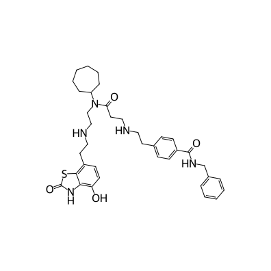 O=C(NCc1ccccc1)c1ccc(CCNCCC(=O)N(CCNCCc2ccc(O)c3[nH]c(=O)sc23)C2CCCCCC2)cc1